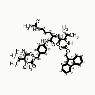 CC(C)C(NC(=O)OCC1c2ccccc2-c2ccccc21)C(=O)NC(CCCNC(N)=O)C(=O)Nc1ccc(COC(=O)N(C)C(C(N)=O)C(C)C)cc1